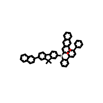 CC1(C)c2cc(-c3ccc4ccccc4c3)ccc2-c2ccc(N(c3ccc4cc5ccccc5cc4c3)c3ccccc3-c3ccc(-c4ccccc4)cc3)cc21